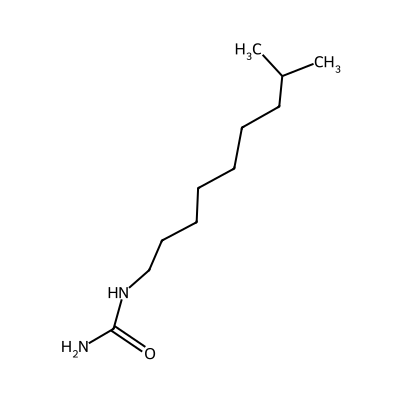 CC(C)CCCCCCCNC(N)=O